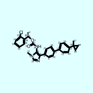 C[C@@H](OC(=O)Nc1c(-c2ccc(-c3ccc(C4(C)CC4)cc3)cc2)ncn1C)c1ccccc1Cl